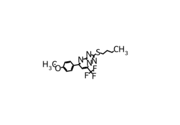 CCCCSc1nc2nc(-c3ccc(OC)cc3)cc(C(F)(F)F)n2n1